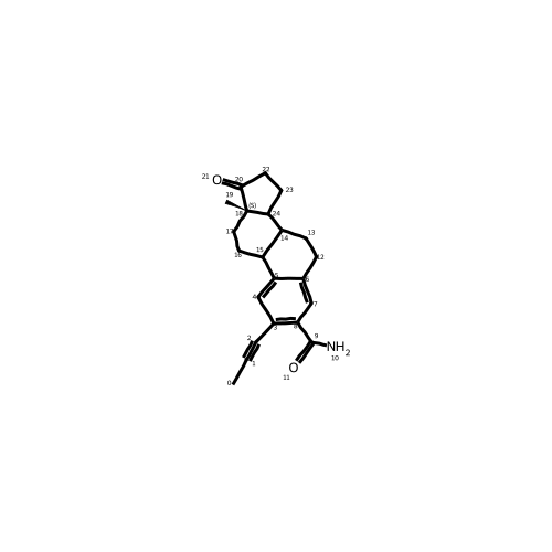 CC#Cc1cc2c(cc1C(N)=O)CCC1C2CC[C@]2(C)C(=O)CCC12